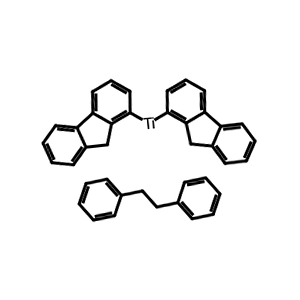 c1ccc(CCc2ccccc2)cc1.c1ccc2c(c1)Cc1[c]([Ti][c]3cccc4c3Cc3ccccc3-4)cccc1-2